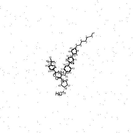 CCCCCCCc1ccc(-c2cnc(-c3ccc(C[C@H](NC(=O)c4ccc(C(C)(C)C)s4)C(=O)N4CC[C@H](CO)C4)cc3)nc2)cc1